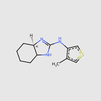 Cc1cscc1NC1=N[C@@H]2CCCCC2N1